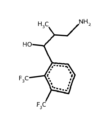 CC(CN)C(O)c1cccc(C(F)(F)F)c1C(F)(F)F